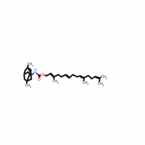 CC(C)=CCC/C(C)=C/CC/C=C/CC/C(C)=C/COC(=O)NC12CC3CC(C)(CC(C)(C3)C1)C2